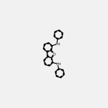 c1ccc(Pc2cccc3c2oc2c(Pc4ccccc4)cccc23)cc1